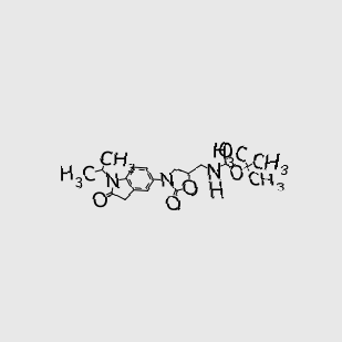 CC(C)N1C(=O)Cc2cc(N3CC(CNC(=O)OC(C)(C)C)OC3=O)ccc21